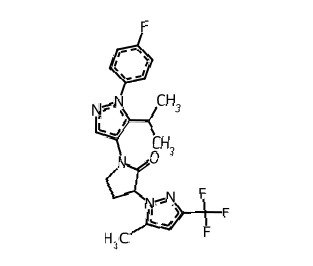 Cc1cc(C(F)(F)F)nn1C1CCN(c2cnn(-c3ccc(F)cc3)c2C(C)C)C1=O